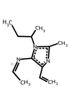 C=Cc1nc(C)n(C(C)CC)c1/N=C\C